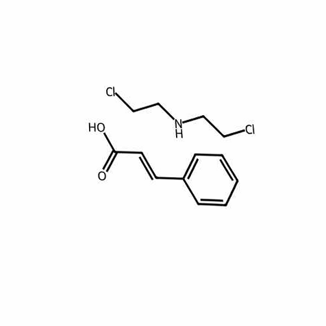 ClCCNCCCl.O=C(O)C=Cc1ccccc1